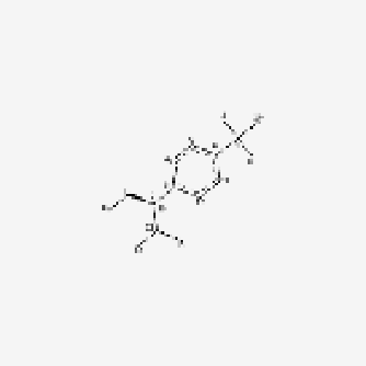 CC[C@@H](c1ccc(C(C)(C)C)cc1)C(C)C